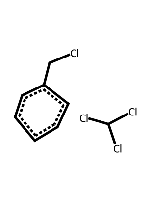 ClCc1ccccc1.Cl[C](Cl)Cl